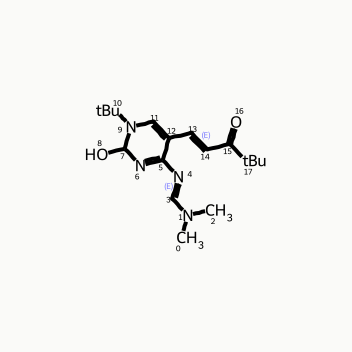 CN(C)/C=N/C1=NC(O)N(C(C)(C)C)C=C1/C=C/C(=O)C(C)(C)C